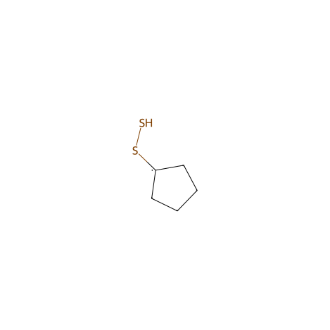 SS[C]1CCCC1